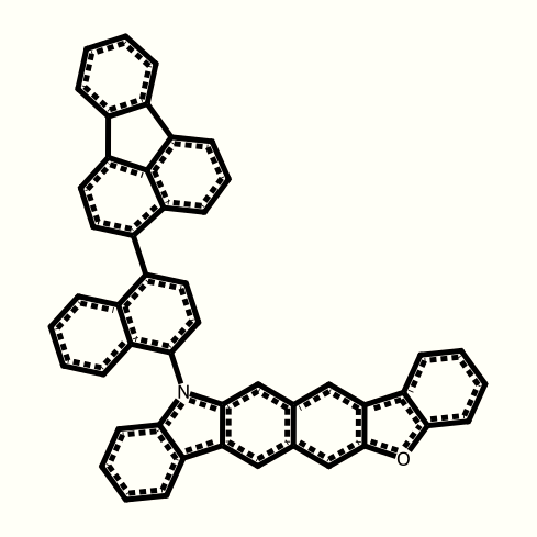 c1ccc2c(c1)-c1cccc3c(-c4ccc(-n5c6ccccc6c6cc7cc8oc9ccccc9c8cc7cc65)c5ccccc45)ccc-2c13